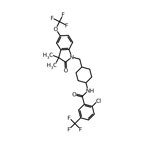 CC1(C)C(=O)N(CC2CCC(NC(=O)c3cc(C(F)(F)F)ccc3Cl)CC2)c2ccc(OC(F)(F)F)cc21